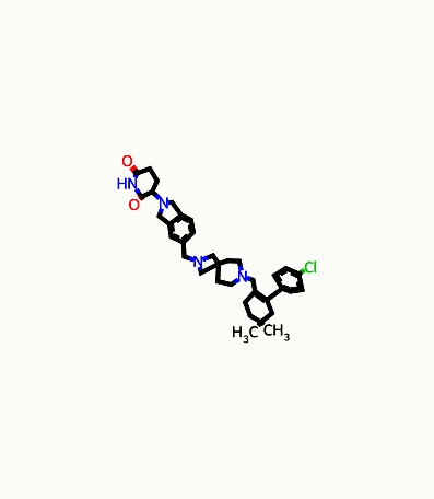 CC1(C)CCC(CN2CCC3(CC2)CN(Cc2ccc4c(c2)CN(C2CCC(=O)NC2=O)C4)C3)=C(c2ccc(Cl)cc2)C1